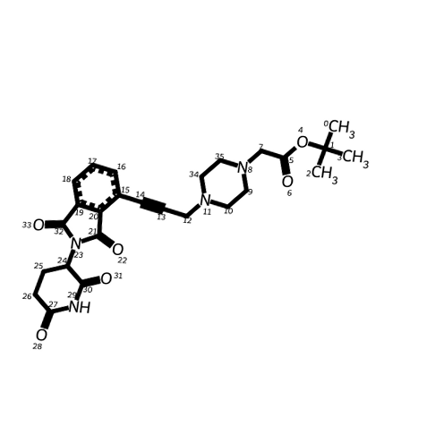 CC(C)(C)OC(=O)CN1CCN(CC#Cc2cccc3c2C(=O)N(C2CCC(=O)NC2=O)C3=O)CC1